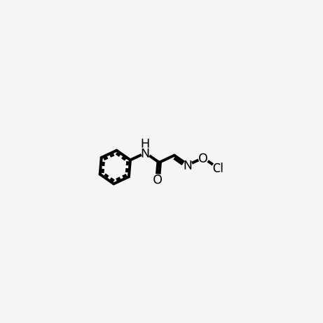 O=C(C=NOCl)Nc1ccccc1